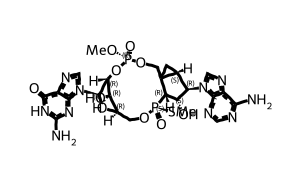 CO[P@]1(=O)OCC23C[C@@H]2[C@@H](n2cnc4c(N)ncnc42)[C@H](O)[C@@H]3[P@@](=O)(SC)OC[C@H]2O[C@@H](n3cnc4c(=O)[nH]c(N)nc43)[C@H](O1)[C@@H]2O